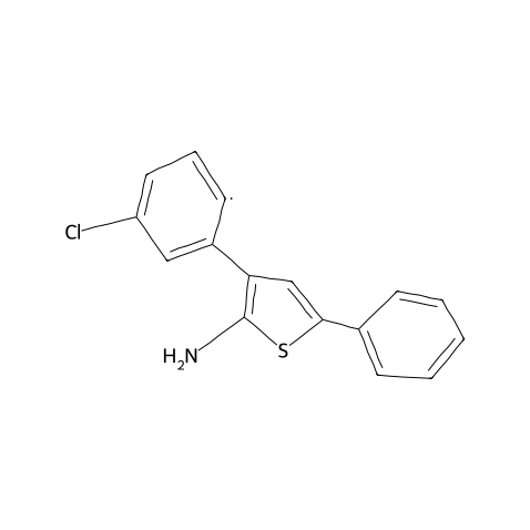 Nc1sc(-c2ccccc2)cc1-c1[c]ccc(Cl)c1